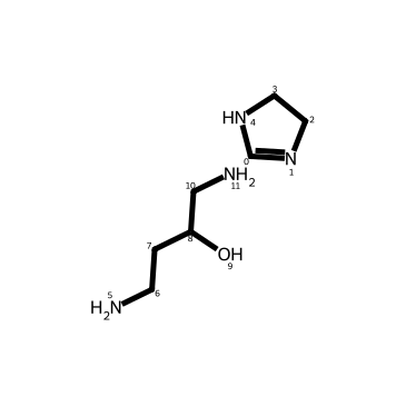 C1=NCCN1.NCCC(O)CN